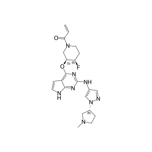 C=CC(=O)N1CC[C@@H](F)[C@@H](Oc2nc(Nc3cnn([C@@H]4CCN(C)C4)c3)nc3[nH]ccc23)C1